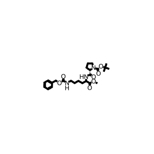 COC(=O)C(CCCCNC(=O)OCc1ccccc1)NC(=O)[C@@H]1CCCN1C(=O)OC(C)(C)C